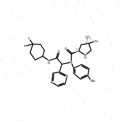 CC(C)(C)c1ccc(N(C(=O)[C@H]2C[C@@](C)(O)CN2)C(C(=O)NC2CCC(F)(F)CC2)c2cnccn2)cc1